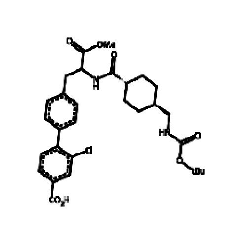 COC(=O)C(Cc1ccc(-c2ccc(C(=O)O)cc2Cl)cc1)NC(=O)[C@H]1CC[C@H](CNC(=O)OC(C)(C)C)CC1